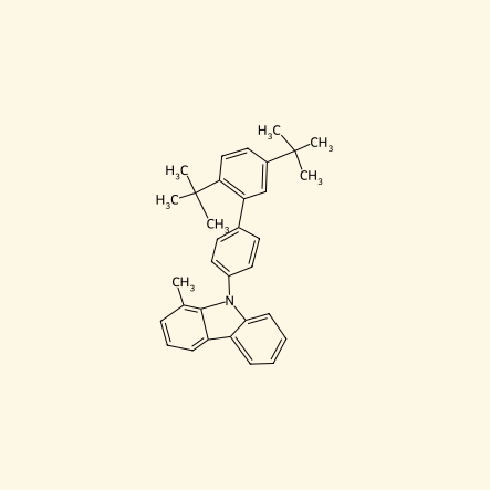 Cc1cccc2c3ccccc3n(-c3ccc(-c4cc(C(C)(C)C)ccc4C(C)(C)C)cc3)c12